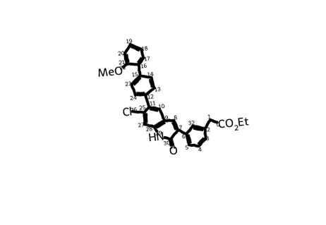 CCOC(=O)Cc1cccc(-c2cc3cc(-c4ccc(-c5ccccc5OC)cc4)c(Cl)cc3[nH]c2=O)c1